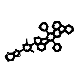 Cc1cc(-c2nc3ncccc3o2)cc(C)c1-c1ccc2c3c(-c4ccccc4)c4c(cc5c6ccccc6c6cccc4c65)c(-c4ccccc4)c3c3cccc1c32